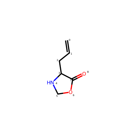 C=CCC1NCOC1=O